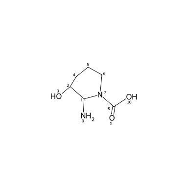 NC1C(O)CCCN1C(=O)O